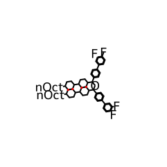 CCCCCCCCC1CCC(C2CCC(C(OC(c3ccc(-c4ccc(F)c(F)c4)cc3)C3CCC(C4CCC(CCCCCCCC)CC4)CC3)c3ccc(-c4ccc(F)c(F)c4)cc3)CC2)CC1